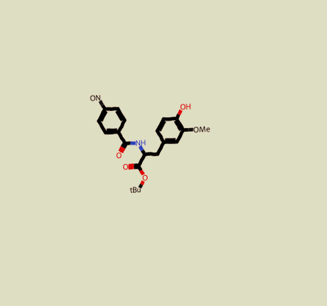 COc1cc(CC(NC(=O)c2ccc(N=O)cc2)C(=O)OC(C)(C)C)ccc1O